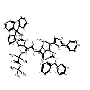 CC(C)(C)OC(=O)C(C)(C)ON=C(C(=O)NC1C(=O)N2C(NC(=O)OC(c3ccccc3)c3ccccc3)=C(c3cnc(-c4cccnc4)s3)C[S+]([O-])C12)c1csc(NC(c2ccccc2)(c2ccccc2)c2ccccc2)n1